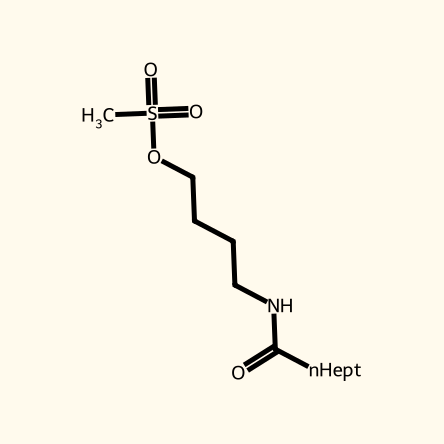 CCCCCCCC(=O)NCCCCOS(C)(=O)=O